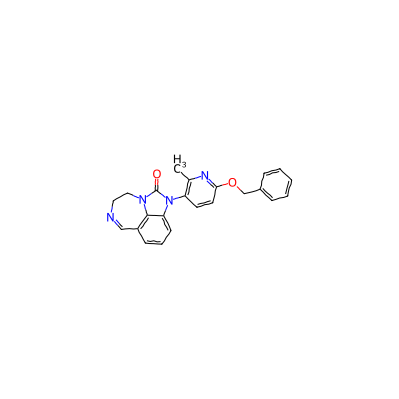 Cc1nc(OCc2ccccc2)ccc1-n1c(=O)n2c3c(cccc31)C=NCC2